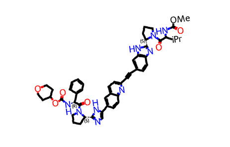 COC(=O)NC(C(=O)N1CCC[C@H]1c1nc2ccc(C#Cc3ccc4cc(-c5cnc([C@@H]6CCCN6C(=O)[C@H](NC(=O)OC6CCOCC6)c6ccccc6)[nH]5)ccc4n3)cc2[nH]1)C(C)C